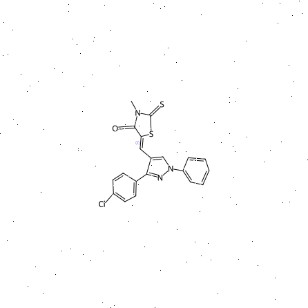 CN1C(=O)/C(=C/c2cn(-c3ccccc3)nc2-c2ccc(Cl)cc2)SC1=S